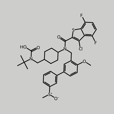 COc1ccc(-c2cccc([S+](C)[O-])c2)cc1CN(C(=O)c1sc2c(F)ccc(F)c2c1Cl)C1CCC(CN(C(=O)O)C(C)(C)C)CC1